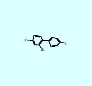 CCc1cc(Br)ccc1-c1ccc(Br)cc1